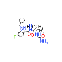 CC(C)(C)[C@H](NC(=O)c1nn(CC2CCCCC2)c2cc(F)ccc12)C(=O)NCC(N)=O